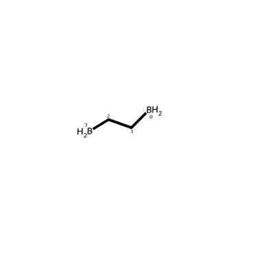 BCCB